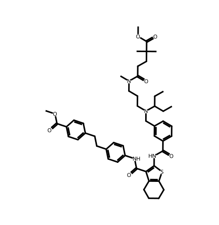 CCC(CC)N(CCCN(C)C(=O)CCC(C)(C)C(=O)OC)Cc1cccc(C(=O)Nc2sc3c(c2C(=O)Nc2ccc(CCc4ccc(C(=O)OC)cc4)cc2)CCCC3)c1